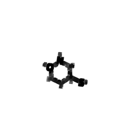 S=c1cconc1